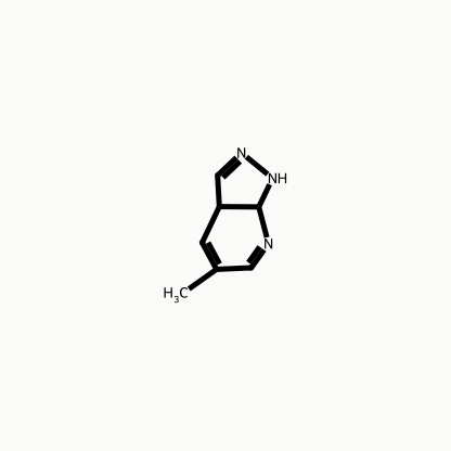 CC1=CC2C=NNC2N=C1